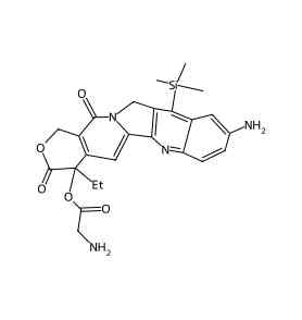 CCC1(OC(=O)CN)C(=O)OCc2c1cc1n(c2=O)Cc2c-1nc1ccc(N)cc1c2[Si](C)(C)C